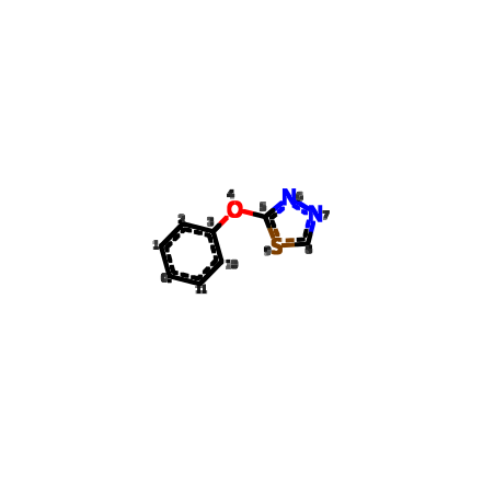 [c]1ccc(Oc2nncs2)cc1